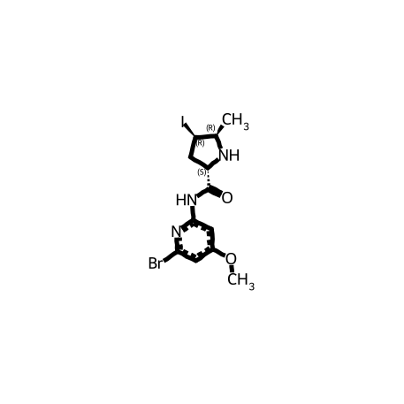 COc1cc(Br)nc(NC(=O)[C@@H]2C[C@@H](I)[C@@H](C)N2)c1